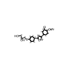 CC(C)Oc1ccc(-c2noc(-c3ccc(OC[C@@H](O)CO)cc3)n2)cc1Cl